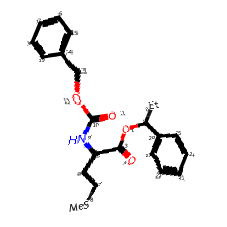 CCC(OC(=O)C(CCSC)NC(=O)OCc1ccccc1)c1ccccc1